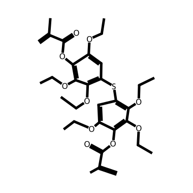 C=C(C)C(=O)Oc1c(OCC)cc(Sc2cc(OCC)c(OC(=O)C(=C)C)c(OCC)c2OCC)c(OCC)c1OCC